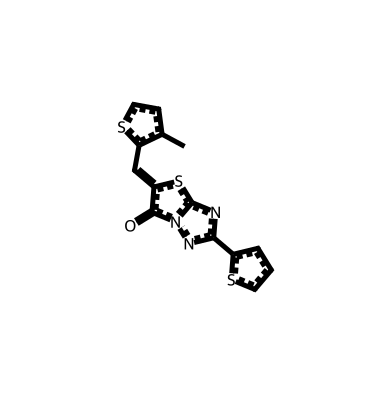 Cc1ccsc1/C=c1\sc2nc(-c3cccs3)nn2c1=O